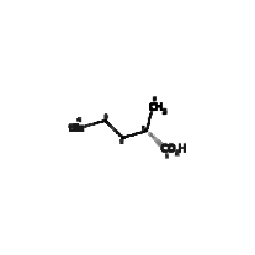 C[C@@H](CCC(C)(C)C)C(=O)O